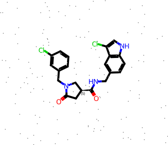 O=C(NCc1ccc2[nH]cc(Cl)c2c1)[C@H]1CC(=O)N(Cc2cccc(Cl)c2)C1